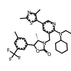 CCN(c1ncc(-c2sc(C)nc2C)cc1CN1C(=O)OC(c2cc(C)cc(C(F)(F)F)c2)[C@@H]1C)C1CCCCC1